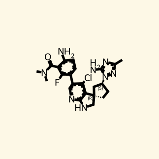 Cc1nc(N)n([C@H]2CC[C@@]3(CNc4ncc(-c5ccc(N)c(C(=O)N(C)C)c5F)c(Cl)c43)C2)n1